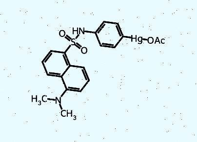 CC(=O)[O][Hg][c]1ccc(NS(=O)(=O)c2cccc3c(N(C)C)cccc23)cc1